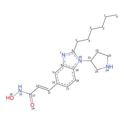 CCCCCCc1nc2cc(C=CC(=O)NO)ccc2n1C1CCNC1